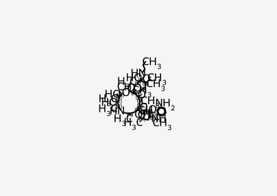 CCCNC[C@]1(O)[C@H](C)O[C@@H](O[C@H]2[C@H](C)[C@@H](O[C@@H]3O[C@H](C)C[C@H](NC)[C@H]3Oc3ccccc3N)[C@](C)(O)C[C@@H](C)CN[C@H](C)[C@@H](O)[C@](C)(O)[C@@H](CC)OC(=O)[C@@H]2C)C[C@@]1(C)OC